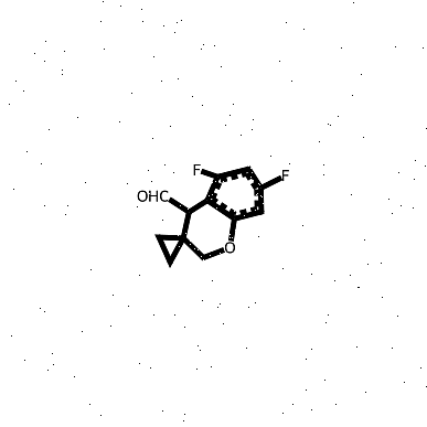 O=CC1c2c(F)cc(F)cc2OCC12CC2